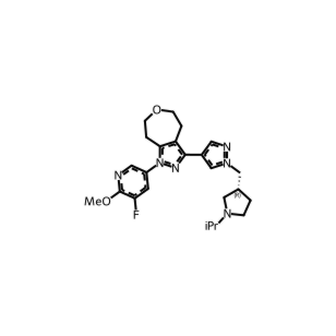 COc1ncc(-n2nc(-c3cnn(C[C@@H]4CCN(C(C)C)C4)c3)c3c2CCOCC3)cc1F